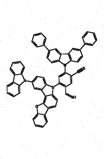 N#Cc1cc(C=N)c(-n2c3ccc(-n4c5ccccc5c5ccccc54)cc3c3c4oc5ccccc5c4ccc32)cc1-n1c2ccc(-c3ccccc3)cc2c2cc(-c3ccccc3)ccc21